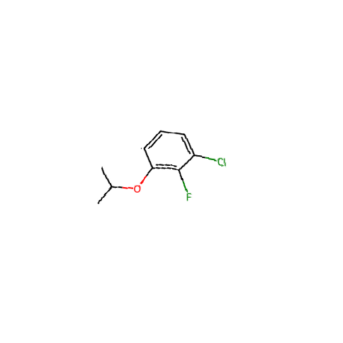 CC(C)Oc1[c]ccc(Cl)c1F